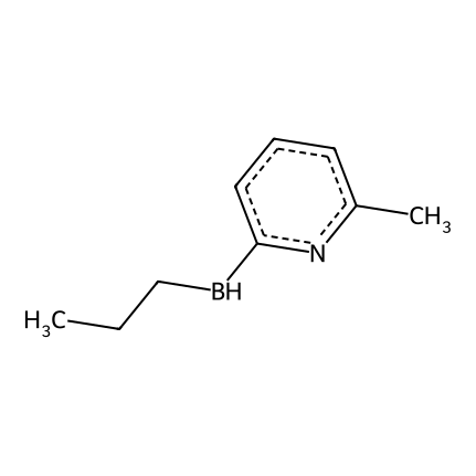 CCCBc1cccc(C)n1